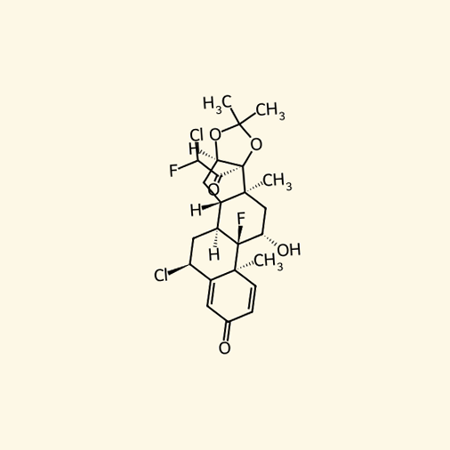 CC1(C)O[C@@H]2C[C@H]3[C@@H]4C[C@H](Cl)C5=CC(=O)C=C[C@]5(C)[C@@]4(F)[C@@H](O)C[C@]3(C)[C@]2(C(=O)C(F)Cl)O1